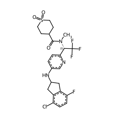 CN(C(=O)C1CCS(=O)(=O)CC1)[C@@H](c1ccc(NC2Cc3c(F)ccc(Cl)c3C2)cn1)C(F)(F)F